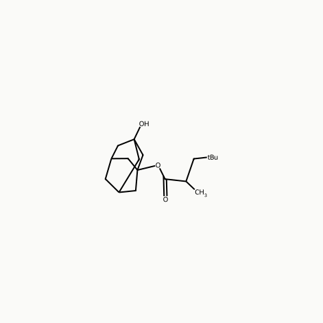 CC(CC(C)(C)C)C(=O)OC12CC3CC(CC(O)(C3)C1)C2